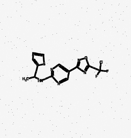 CC(Nc1ncc(-c2noc(C(F)(F)Cl)n2)cn1)c1cccs1